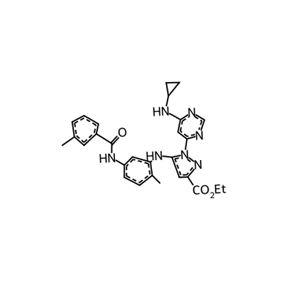 CCOC(=O)c1cc(Nc2cc(NC(=O)c3cccc(C)c3)ccc2C)n(-c2cc(NC3CC3)ncn2)n1